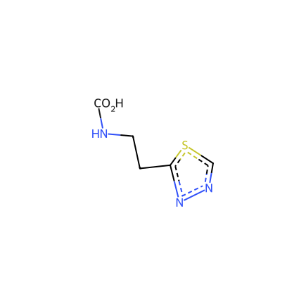 O=C(O)NCCc1nncs1